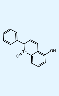 O=[Te]1c2cccc(O)c2C=CC1c1ccccc1